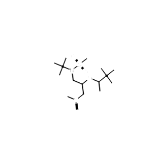 C=S(C)CC(CN(C(C)(C)C)S(C)(=O)=O)OC(C)C(C)(C)C